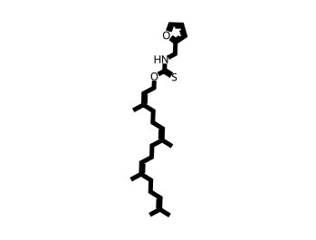 CC(C)=CCCC(C)=CCCC(C)=CCCC(C)=CCOC(=S)NCc1ccco1